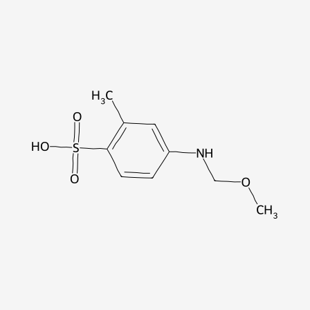 COCNc1ccc(S(=O)(=O)O)c(C)c1